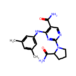 Cc1cc(C)cc(Nc2nc(N3CCCC3C(N)=O)ncc2C(N)=O)c1